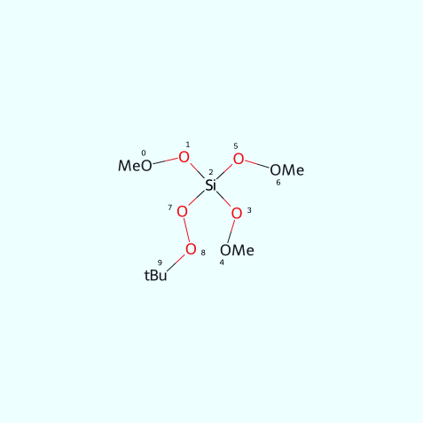 COO[Si](OOC)(OOC)OOC(C)(C)C